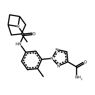 Cc1ccc(NC(=O)N2C3CC(C)CC2C3)cc1-n1ncc(C(N)=O)n1